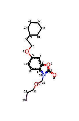 O=c1oc2cc(OCCC3CCCCC3)ccc2n1COCCI